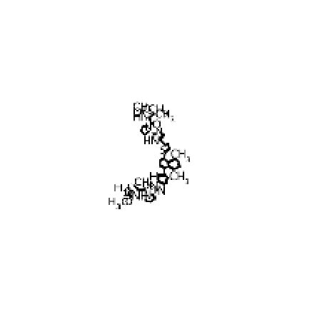 COC(=O)N[C@H](C(=O)N1CCC[C@H]1c1ncc(-c2ccc(-c3ccc(-c4ccc5nc([C@@H]6CCCN6C(=O)[C@@H](NC(=O)OC)C(C)C)[nH]c5c4)c4c(C)ccc(C)c34)s2)[nH]1)C(C)C